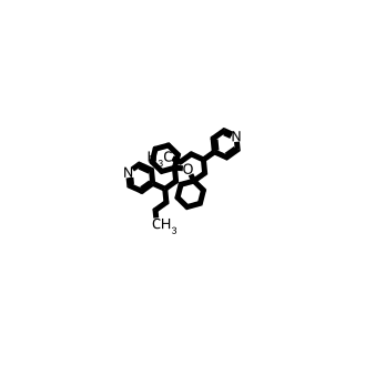 CCCC(CC1(OC2(CC(CCC)c3ccncc3)CCCCC2)CCCCC1)c1ccncc1